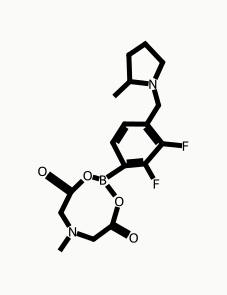 CC1CCCN1Cc1ccc(B2OC(=O)CN(C)CC(=O)O2)c(F)c1F